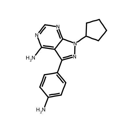 Nc1ccc(-c2nn(C3CCCC3)c3ncnc(N)c23)cc1